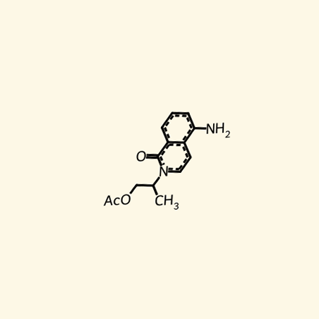 CC(=O)OCC(C)n1ccc2c(N)cccc2c1=O